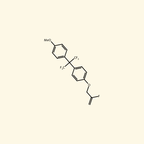 C=C(F)COc1ccc(C(c2ccc(OC)cc2)(C(F)(F)F)C(F)(F)F)cc1